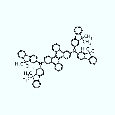 CC1(C)c2ccccc2-c2ccc(N(c3ccc4c(c3)C(C)(C)c3ccccc3-4)c3ccc4c(c3)c3ccccc3c3c5ccc(N(c6ccc7c(c6)C(C)(C)c6ccccc6-7)c6ccc7c(c6)C(C)(C)c6ccccc6-7)cc5c5ccccc5c43)cc21